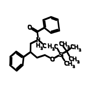 CN(CC(CCO[Si](C)(C)C(C)(C)C)c1ccccc1)C(=O)c1ccccc1